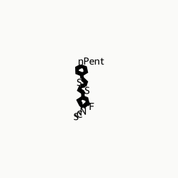 CCCCCc1ccc(-c2cc3sc(-c4ccc(N=C=S)c(F)c4)cc3s2)cc1